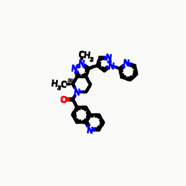 C[C@H]1c2nn(C)c(-c3cnn(-c4ccccn4)c3)c2CCN1C(=O)c1ccc2ncccc2c1